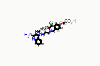 CCCCc1nc2c(N)nc3ccccc3c2n1CCCN(Cc1ccc(OCC(=O)O)cc1)C(=O)CCl